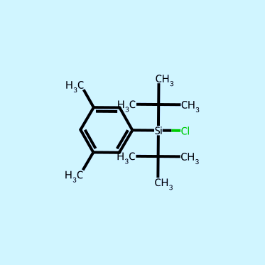 Cc1cc(C)cc([Si](Cl)(C(C)(C)C)C(C)(C)C)c1